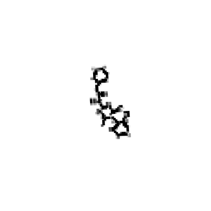 Cc1nc(NNCc2ccccc2)nc(=O)n1-c1ccccc1Cl